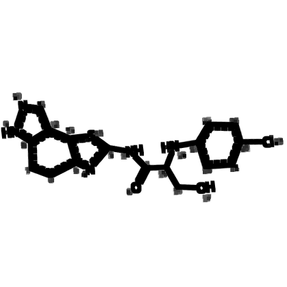 O=C(Nc1nc2ccc3[nH]ncc3c2s1)C(CO)Nc1ccc(Cl)cc1